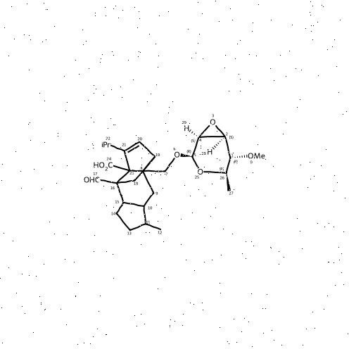 CO[C@H]1[C@@H]2O[C@@H]2[C@H](OCC23CC4C(C)CCC4C4(C=O)CC2C=C(C(C)C)C43C(=O)O)O[C@@H]1C